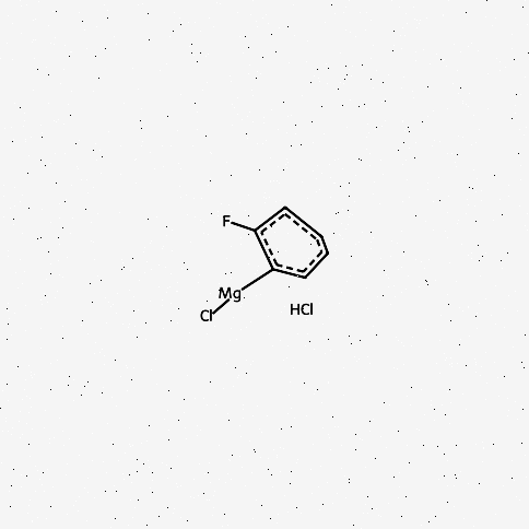 Cl.Fc1cccc[c]1[Mg][Cl]